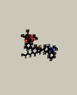 CCCCCCc1cc(-c2ccc3c(c2)c2ccccc2n3CC)sc1/C=C/c1cccc([Si](OCC)(OCC)OCC)c1